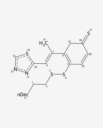 CCCCCCCCCCCCSSC1=C(C(C)=Cc2nncs2)CC(=S)C=C1